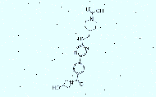 O=C(O)N1CCC(CNc2cnc(-c3ccc(C(=O)N4CC(O)C4)cc3)cn2)CC1